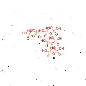 O=P(O)(O)OP(=O)(O)O.O=P(O)(O)OP(=O)(O)O.O=P(O)(O)OP(=O)(O)O.O=P(O)(O)OP(=O)(O)O.[K]